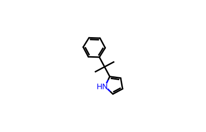 CC(C)(c1ccccc1)c1ccc[nH]1